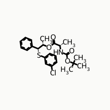 C[C@H](NC(=O)OC(C)(C)C)C(=O)O[C@@H](C)[C@H](Sc1cccc(Cl)c1)c1ccccc1